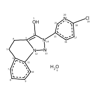 O.OC1=C2CCc3ccccc3N2[N]N1c1ccc(Cl)nc1